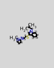 C=C(C)Cn1cc(SCC/N=C2\CCCN2C)c2ccccc21